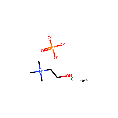 C[N+](C)(C)CCO.O=P([O-])([O-])[O-].[Cl-].[Fe+3]